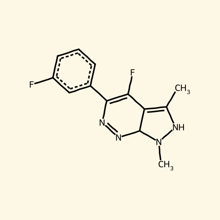 CC1=C2C(F)=C(c3cccc(F)c3)N=NC2N(C)N1